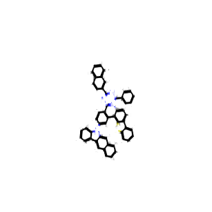 c1ccc(-c2nc(-c3ccc4ccccc4c3)nc(-c3ccc(-n4c5ccccc5c5cc6ccccc6cc54)cc3-c3cccc4c3sc3ccccc34)n2)cc1